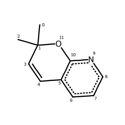 CC1(C)C=Cc2cccnc2O1